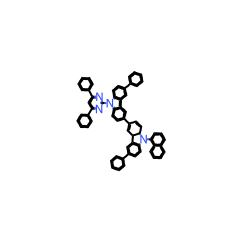 C1=CC2C(C=C1c1ccc3c(c1)c1cc(-c4ccccc4)ccc1n3-c1nc(-c3ccccc3)cc(-c3ccccc3)n1)c1cc(-c3ccccc3)ccc1N2c1cccc2ccccc12